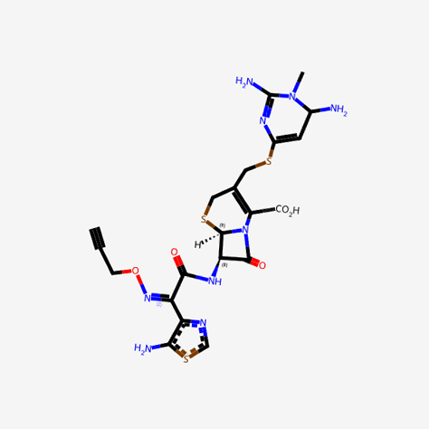 C#CCO/N=C(\C(=O)N[C@@H]1C(=O)N2C(C(=O)O)=C(CSC3=CC(N)N(C)C(N)=N3)CS[C@H]12)c1ncsc1N